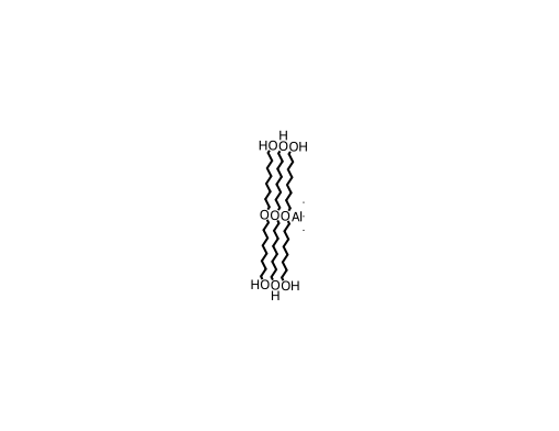 OCCCCCCCCOCCCCCCCCO.OCCCCCCCCOCCCCCCCCO.OCCCCCCCCOCCCCCCCCO.[Al]